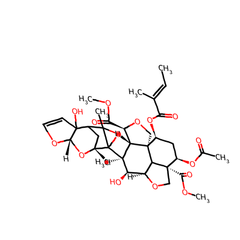 C/C=C(\C)C(=O)O[C@H]1C[C@@H](OC(C)=O)[C@@]2(C(=O)OC)CO[C@@H]3C2[C@]12CO[C@H](C(=O)OC)[C@H]2[C@](C)(C12OC1(C)C1C[C@H]2O[C@@H]2OC=CC12O)[C@@H]3O